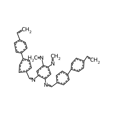 C=Cc1ccc(-c2ccc(/C=N\c3cc(N=C)c(N=C)cc3/N=C\c3ccc(-c4ccc(C=C)cc4)cc3)cc2)cc1